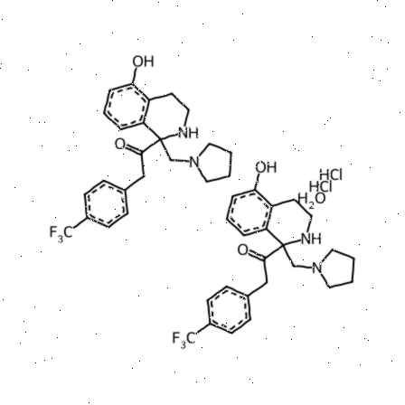 Cl.Cl.O.O=C(Cc1ccc(C(F)(F)F)cc1)C1(CN2CCCC2)NCCc2c(O)cccc21.O=C(Cc1ccc(C(F)(F)F)cc1)C1(CN2CCCC2)NCCc2c(O)cccc21